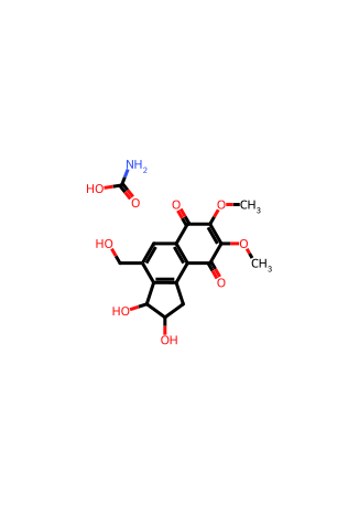 COC1=C(OC)C(=O)c2c(cc(CO)c3c2CC(O)C3O)C1=O.NC(=O)O